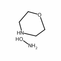 C1COCCN1.NO